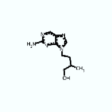 CC(CO)CCn1cnc2cnc(N)nc21